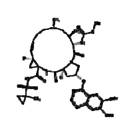 COc1cc2ccnc(O[C@@H]3C[C@H]4C(=O)N[C@]5(C(=O)NS(=O)(=O)C6(C)CC6)C[C@H]5/C=C\CC[C@@H](C)C[C@@H](C)[C@H](NC(=O)OC(C)(C)C)C(=O)N4C3)c2cc1OC